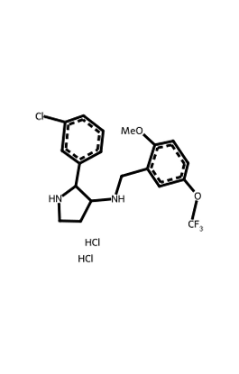 COc1ccc(OC(F)(F)F)cc1CNC1CCNC1c1cccc(Cl)c1.Cl.Cl